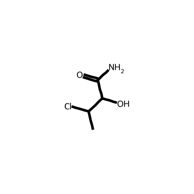 CC(Cl)C(O)C(N)=O